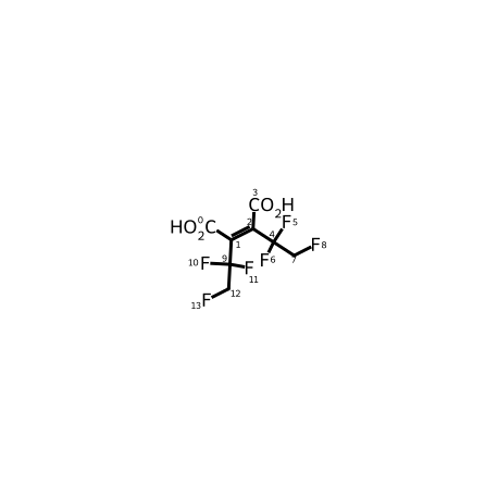 O=C(O)/C(=C(\C(=O)O)C(F)(F)CF)C(F)(F)CF